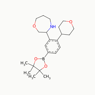 CC1(C)OB(c2ccc(C3CCOCC3)c(C3COCCCN3)c2)OC1(C)C